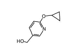 OCc1ccc(OC2CC2)nc1